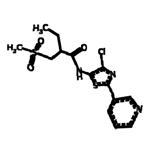 CCC(CS(C)(=O)=O)C(=O)Nc1sc(-c2cccnc2)nc1Cl